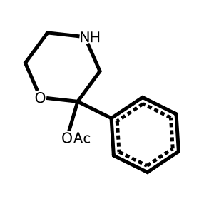 CC(=O)OC1(c2ccccc2)CNCCO1